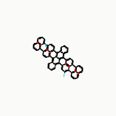 Fc1cc(-c2c3ccccc3c(-c3ccc(-c4ccccc4)c(F)c3)c3c(-c4ccc(-c5ccccc5)cc4)c4ccccc4c(-c4ccc(-c5ccccc5)cc4)c23)ccc1-c1ccccc1